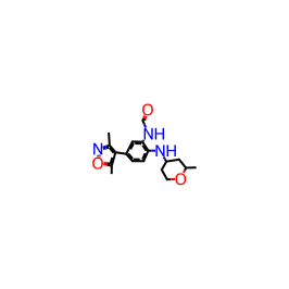 Cc1noc(C)c1-c1ccc(NC2CCOC(C)C2)c(NC=O)c1